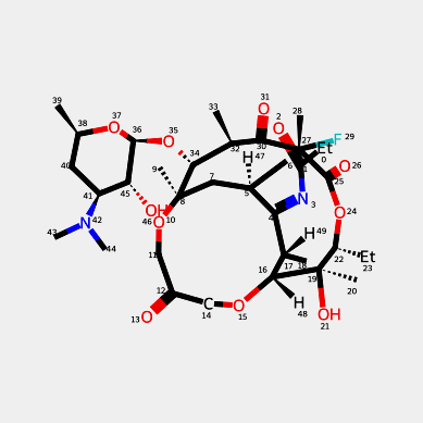 CCC(=O)/N=C1\[C@H](C)C[C@@]2(C)OCC(=O)CO[C@H]([C@H]1C)[C@](C)(O)[C@@H](CC)OC(=O)[C@@](C)(F)C(=O)[C@H](C)[C@H]2O[C@@H]1O[C@H](C)C[C@H](N(C)C)[C@H]1O